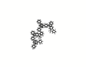 CC1(C)c2ccccc2-c2cc3c4ccccc4n(-c4ccc(-c5nc(-c6ccccc6)nc(-c6cccc(-c7cccc8c7-c7cc9c%10ccccc%10n(-c%10cccc(-c%11nc(-c%12ccccc%12)nc(-c%12ccccc%12)n%11)c%10)c9cc7C8(C)C)c6)n5)cc4)c3cc21